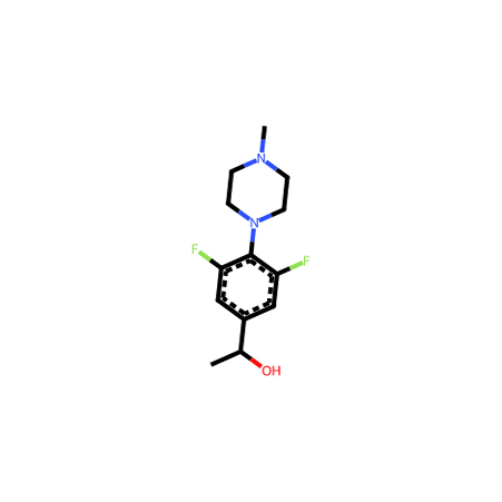 CC(O)c1cc(F)c(N2CCN(C)CC2)c(F)c1